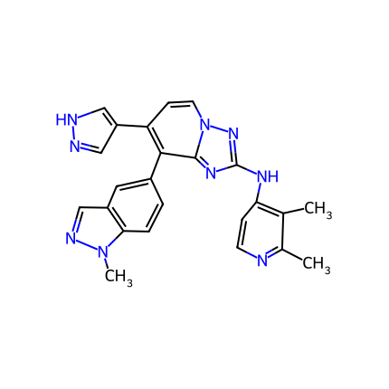 Cc1nccc(Nc2nc3c(-c4ccc5c(cnn5C)c4)c(-c4cn[nH]c4)ccn3n2)c1C